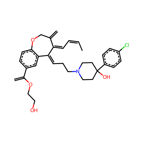 C=C1COc2ccc(C(=C)OCCO)cc2C(=C/CCN2CCC(O)(c3ccc(Cl)cc3)CC2)/C1=C/C=C\C